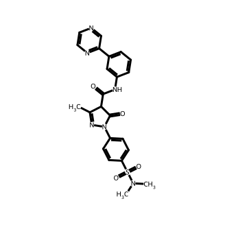 CC1=NN(c2ccc(S(=O)(=O)N(C)C)cc2)C(=O)C1C(=O)Nc1cccc(-c2cnccn2)c1